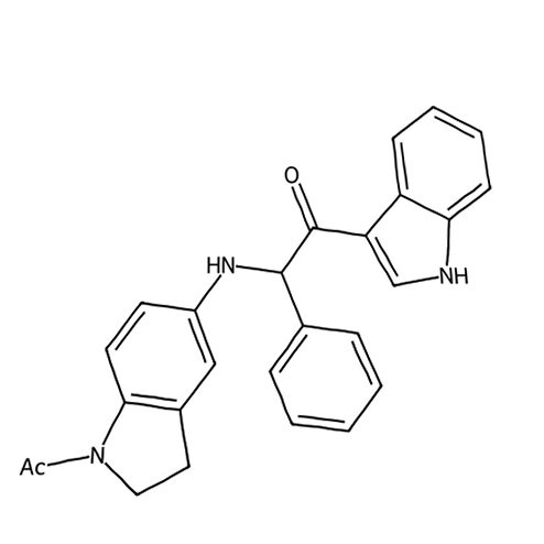 CC(=O)N1CCc2cc(NC(C(=O)c3c[nH]c4ccccc34)c3ccccc3)ccc21